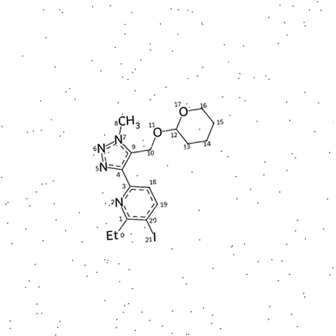 CCc1nc(-c2nnn(C)c2COC2CCCCO2)ccc1I